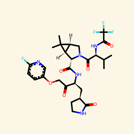 CC(C)[C@H](NC(=O)C(F)(F)F)C(=O)N1C[C@H]2[C@@H]([C@H]1C(=O)N[C@@H](C[C@@H]1CCNC1=O)C(=O)COc1ccc(F)nc1)C2(C)C